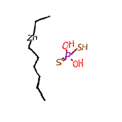 CCCCC[CH2][Zn][CH2]C.OP(O)(=S)S